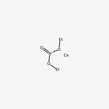 CCO[N+](=O)OCC.[Ce]